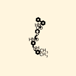 Cc1ccc(CNCc2ccc(NC(=O)CCN3CCC(OC(=O)Nc4ccccc4-c4ccccc4)CC3)cc2)cc1C